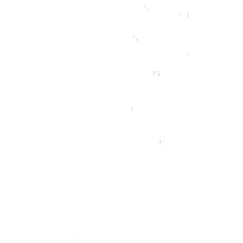 Cc1nc2ccccn2c1C(=O)NC[C@@H](O)CN1CCC(Oc2ccc(Cl)c(Cl)c2)CC1